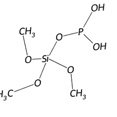 CO[Si](OC)(OC)OP(O)O